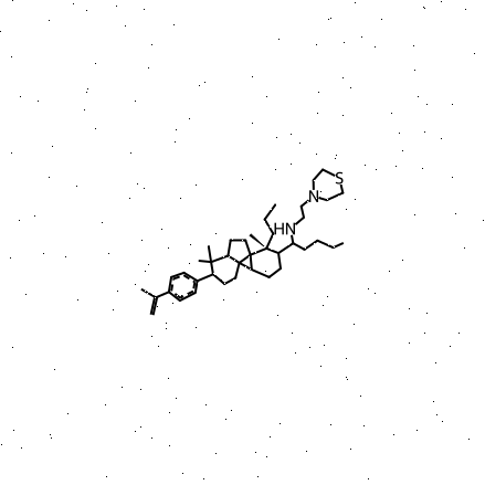 C=C(C)c1ccc(C2CCC34C(CCC35C4CCC(C(CCCC)NCCN3CCSCC3)[C@@]5(C)CCC)C2(C)C)cc1